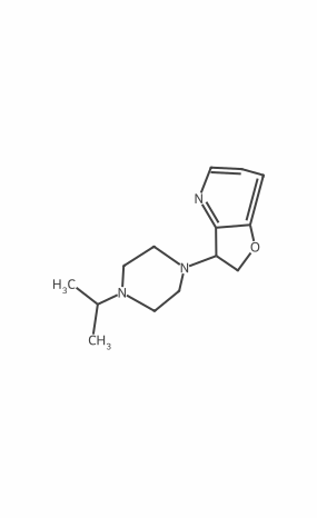 CC(C)N1CCN(C2COc3cccnc32)CC1